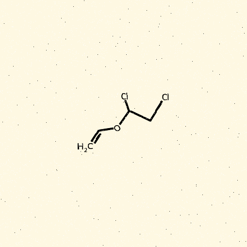 C=COC(Cl)CCl